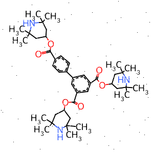 CC1(C)CC(OC(=O)c2ccc(-c3cc(C(=O)OC4CC(C)(C)NC(C)(C)C4)cc(C(=O)OC4CC(C)(C)NC(C)(C)C4)c3)cc2)CC(C)(C)N1